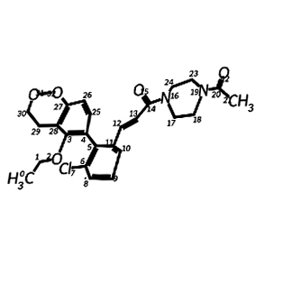 CCOc1c(-c2c(Cl)[c]ccc2/C=C/C(=O)N2CCN(C(C)=O)CC2)ccc2c1CCOO2